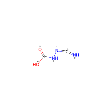 N=C=NNC(=O)O